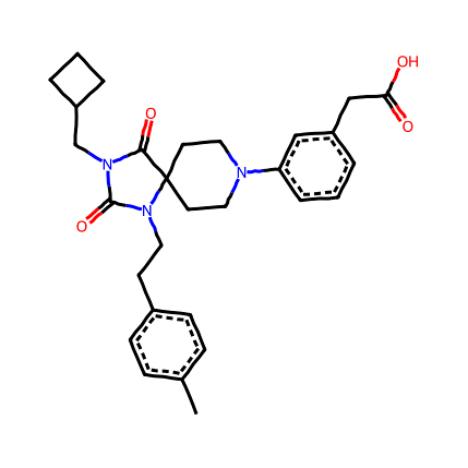 Cc1ccc(CCN2C(=O)N(CC3CCC3)C(=O)C23CCN(c2cccc(CC(=O)O)c2)CC3)cc1